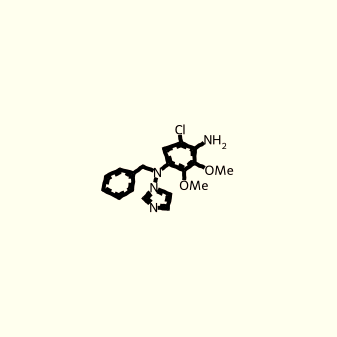 COc1c(N(Cc2ccccc2)n2ccnc2)cc(Cl)c(N)c1OC